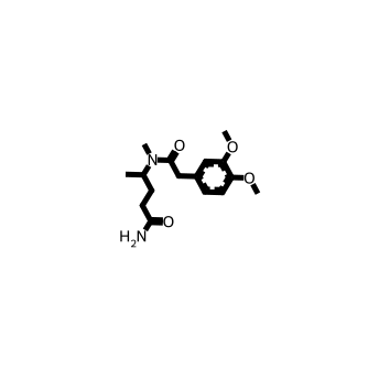 COc1ccc(CC(=O)N(C)C(C)CCC(N)=O)cc1OC